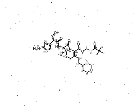 CC(C)(C)C(=O)OCOC(=O)C1=C(SCC2CCOCO2)CS[C@@H]2C(NC(=O)/C(=N\O)c3csc(N)n3)C(=O)N12